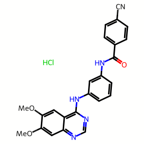 COc1cc2ncnc(Nc3cccc(NC(=O)c4ccc(C#N)cc4)c3)c2cc1OC.Cl